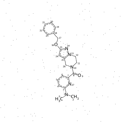 CN(C)c1cccc(C(=O)N2CCn3nc(OCc4ccccc4)cc3C2)n1